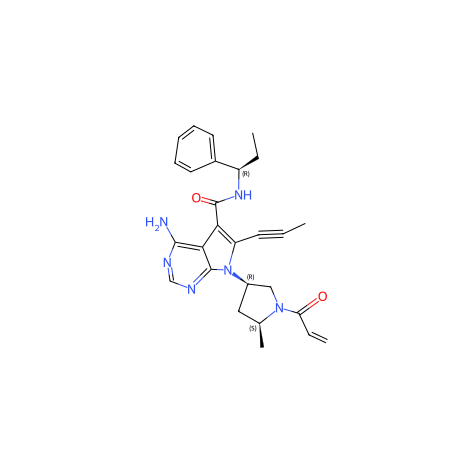 C=CC(=O)N1C[C@H](n2c(C#CC)c(C(=O)N[C@H](CC)c3ccccc3)c3c(N)ncnc32)C[C@@H]1C